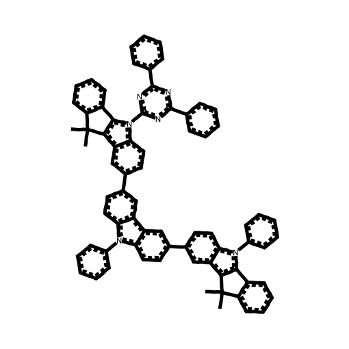 CC1(C)c2ccccc2-c2c1c1cc(-c3ccc4c(c3)c3cc(-c5ccc6c(c5)c5c(n6-c6nc(-c7ccccc7)nc(-c7ccccc7)n6)-c6ccccc6C5(C)C)ccc3n4-c3ccccc3)ccc1n2-c1ccccc1